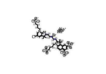 CC1(C)C2=CC(Cl)=CN(CCCCS(=O)(=O)[O-])C2=N/C1=C/C=C(Br)/C=C/C1=[N+](CCCCS(=O)(=O)[O-])c2ccc3c(S(=O)(=O)[O-])cc(S(=O)(=O)[O-])cc3c2C1(C)C.[Na+].[Na+].[Na+]